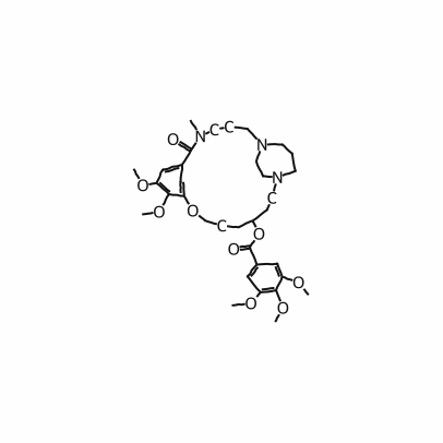 COc1cc(C(=O)OC2CCCOc3cc(cc(OC)c3OC)C(=O)N(C)CCCN3CCCN(CC2)CC3)cc(OC)c1OC